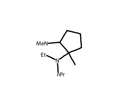 CCCN(CC)C1(C)CCCC1NC